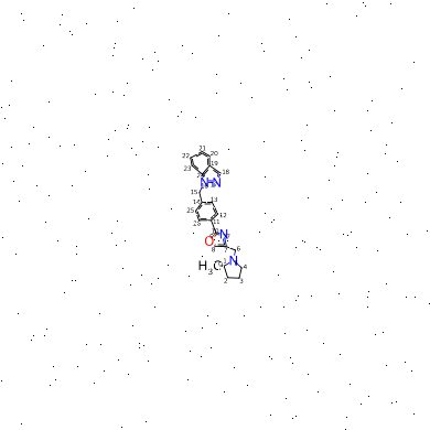 C[C@@H]1CCCN1Cc1coc(-c2ccc(Cn3ncc4ccccc43)cc2)n1